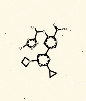 Cc1nnc(C(C)Oc2cc(-c3cc(N4CCC4)nc(C4CC4)n3)cnc2C(N)=O)s1